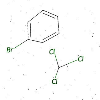 Brc1ccccc1.ClC(Cl)Cl